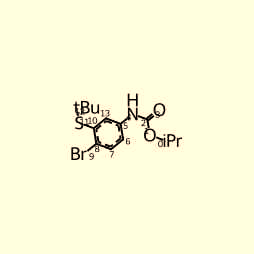 CC(C)OC(=O)Nc1ccc(Br)c(SC(C)(C)C)c1